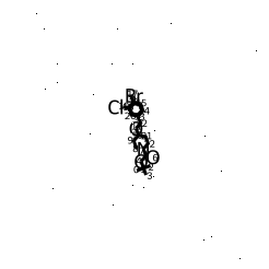 CC(C)(C)OC(=O)N1CCC(OCc2ccc(Br)c(Cl)c2)CC1